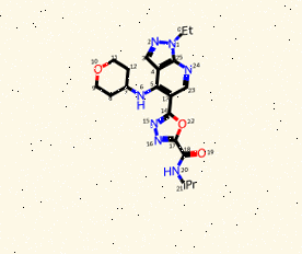 CCn1ncc2c(NC3CCOCC3)c(-c3nnc(C(=O)NC(C)C)o3)cnc21